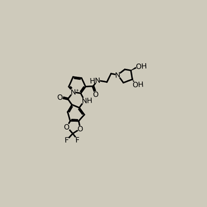 O=C(NCCN1C[C@@H](O)[C@H](O)C1)c1ccc[n+]2c(=O)c3cc4c(cc3[nH]c12)OC(F)(F)O4